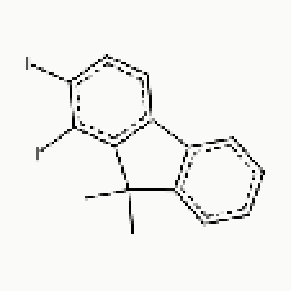 CC1(C)c2ccccc2-c2ccc(I)c(I)c21